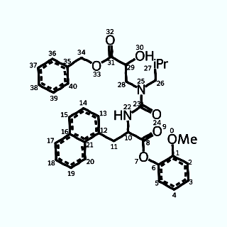 COc1ccccc1OC(=O)C(Cc1cccc2ccccc12)NC(=O)N(CC(C)C)CC(O)C(=O)OCc1ccccc1